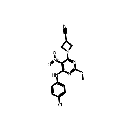 CSc1nc(Nc2ccc(Cl)cc2)c([N+](=O)[O-])c(N2CC(C#N)C2)n1